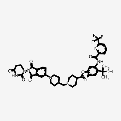 CC(C)(O)c1cc2nc(C3CCN(CC4CCN(c5ccc6c(c5)C(=O)N(N5CCC(=O)NC5=O)C6=O)CC4)CC3)oc2cc1NC(=O)c1cccc(C(F)(F)F)n1